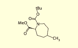 COC(=O)[C@@H]1CCC(C)CCN1C(=O)OC(C)(C)C